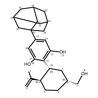 C=C(C)[C@@H]1CC[C@@H](CO)C[C@H]1c1c(O)cc(C23CC4CC(CC(C4)C2)C3)cc1O